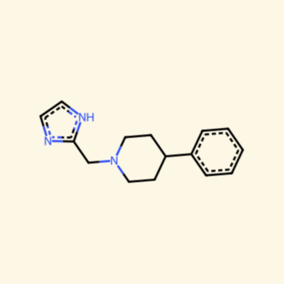 c1ccc(C2CCN(Cc3ncc[nH]3)CC2)cc1